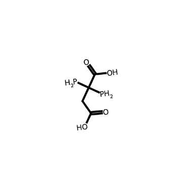 O=C(O)CC(P)(P)C(=O)O